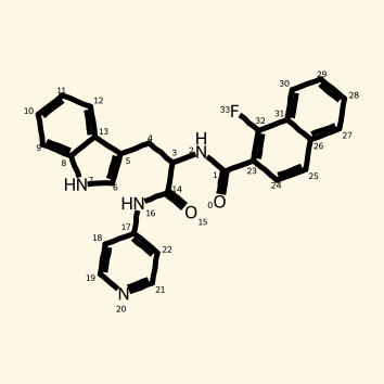 O=C(NC(Cc1c[nH]c2ccccc12)C(=O)Nc1ccncc1)c1ccc2ccccc2c1F